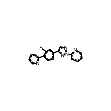 Fc1cc(-c2cnn(-c3ccccn3)n2)ccc1-c1ccccn1